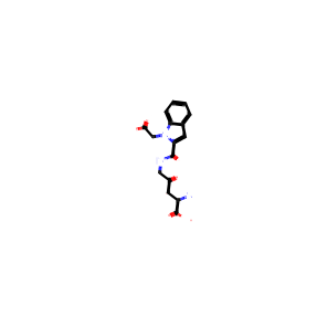 C[C@H](NC(=O)c1cc2ccccc2n1CC(=O)O)C(=O)[C@@H](O)C(N)C(=O)O